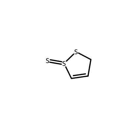 S=S1C=CCS1